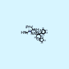 CN/C(=C\C=N)C(CC(C)C)NCC[C@@]1(c2ccccn2)CCOC2(CCCC2)C1